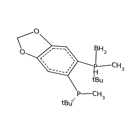 B[PH](C)(c1cc2c(cc1[P@](C)C(C)(C)C)OCO2)C(C)(C)C